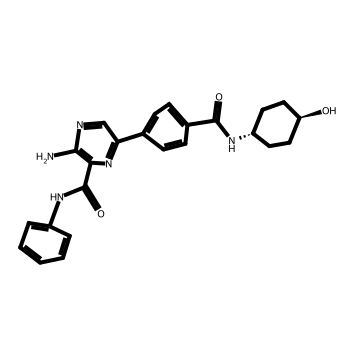 Nc1ncc(-c2ccc(C(=O)N[C@H]3CC[C@H](O)CC3)cc2)nc1C(=O)Nc1ccccc1